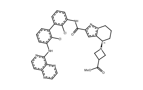 COC(=O)C1CN([C@@H]2CCCn3nc(C(=O)Nc4cccc(-c5cccc(Nc6nccc7nccnc67)c5Cl)c4Cl)cc32)C1